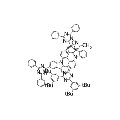 C=C/C=C\C(C#N)=C/c1ccc(-n2c3ccccc3c3cc(-c4nc(-c5ccccc5)nc(-c5ccccc5)n4)ccc32)c(-c2cc(-c3nc(-c4cc(C(C)(C)C)cc(C(C)(C)C)c4)nc(-c4cc(C(C)(C)C)cc(C(C)(C)C)c4)n3)ccc2-n2c3ccccc3c3cc(-c4nc(-c5ccccc5)nc(-c5ccccc5)n4)ccc32)c1